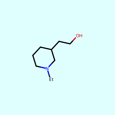 CCN1CCCC(CCO)C1